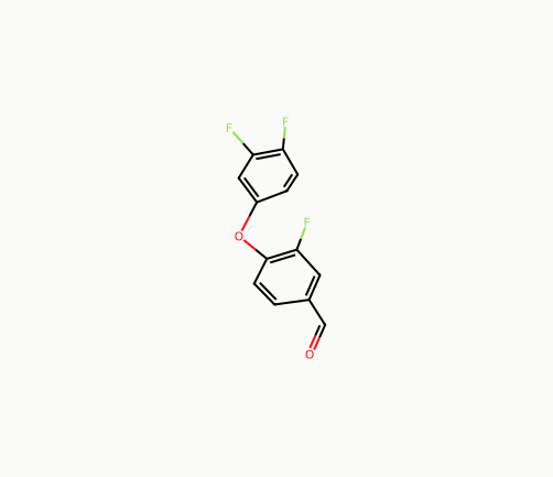 O=Cc1ccc(Oc2ccc(F)c(F)c2)c(F)c1